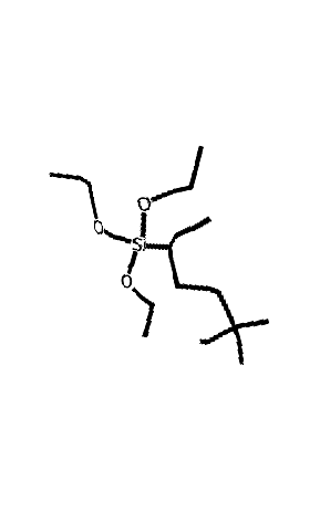 CCO[Si](OCC)(OCC)C(C)CCC(C)(C)C